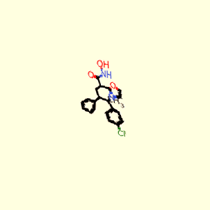 CC(c1ccc(Cl)cc1)C(CC(C(=O)NO)c1ncco1)c1ccccc1